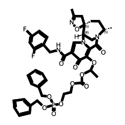 CC1=NO[C@@]2(CC[C@H](C)N3C[C@H]2n2cc(C(=O)NCc4ccc(F)cc4F)c(=O)c(OC(C)OC(=O)OCCOP(=O)(OCc4ccccc4)OCc4ccccc4)c2C3=O)C1